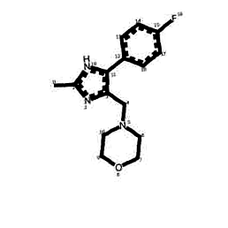 Cc1nc(CN2CCOCC2)c(-c2ccc(F)cc2)[nH]1